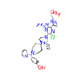 C=C(NCCO)c1nc(Cl)c(N2CCN(C3CCN(C(C4=NC=CC=CC4)c4ccc(O)cc4)CC3)[C@@H](CC)C2)nc1N